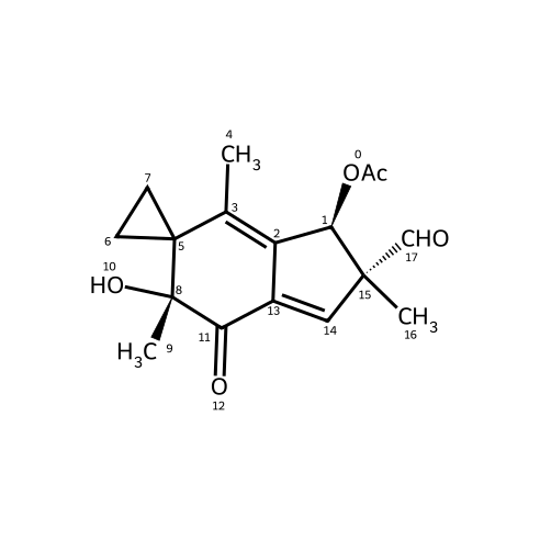 CC(=O)O[C@@H]1C2=C(C)C3(CC3)[C@@](C)(O)C(=O)C2=C[C@@]1(C)C=O